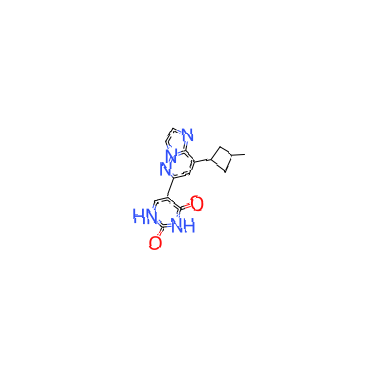 CC1CC(c2cc(-c3c[nH]c(=O)[nH]c3=O)nn3ccnc23)C1